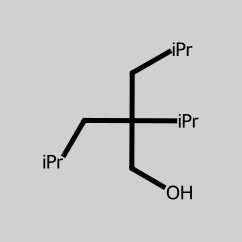 CC(C)CC(CO)(CC(C)C)C(C)C